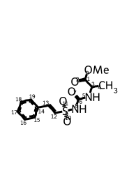 COC(=O)C(C)NC(=O)NS(=O)(=O)C=Cc1ccccc1